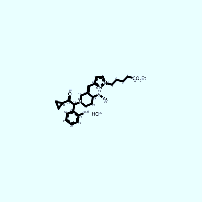 CCOC(=O)CCCCn1ccc(C=C2CN(C(C(=O)C3CC3)c3ccccc3F)CCC2SC(C)=O)n1.Cl